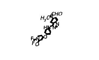 CN(C=O)c1ccc2ncnc(Nc3ccc(Oc4ccn(C(F)F)c(=O)c4)cc3)c2c1